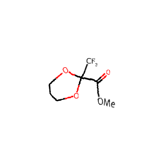 COC(=O)C1(C(F)(F)F)OCCO1